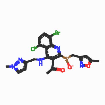 CC(=O)c1c([S+]([O-])Cc2cc(C)on2)nc2c(Br)ccc(Cl)c2c1NCc1ccn(C)n1